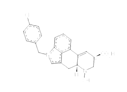 CN1C[C@H](C(=O)O)C=C2c3cccc4c3c(cn4Cc3ccc(Cl)cc3)C[C@H]21